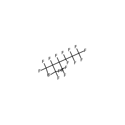 FC(F)(F)C(F)(F)C(F)(F)C(F)(C(F)(F)F)C(F)(C(F)(F)F)C(F)(F)F